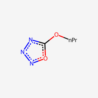 CCCOc1nnno1